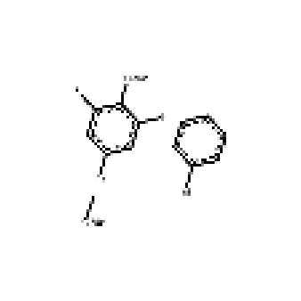 CCc1cc(F)c(OC)c(F)c1.CCc1ccccc1.COC